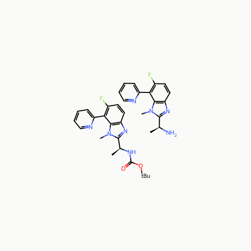 C[C@H](N)c1nc2ccc(F)c(-c3ccccn3)c2n1C.C[C@H](NC(=O)OC(C)(C)C)c1nc2ccc(F)c(-c3ccccn3)c2n1C